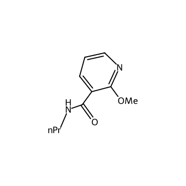 CCCNC(=O)c1cccnc1OC